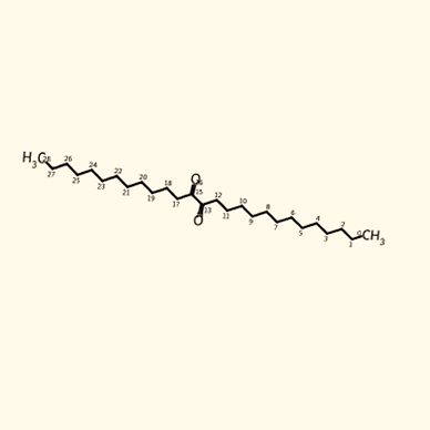 CCCCCCCCCCCCCC(=O)C(=O)CCCCCCCCCCCC